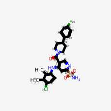 Cc1c(Cl)ccc(Nc2cc(S(N)(=O)=O)ncc2C(=O)N2CCC(c3ccc(F)cc3)CC2)c1C